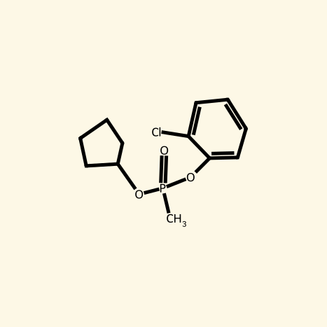 CP(=O)(Oc1ccccc1Cl)OC1CCCC1